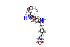 COc1ccc2c(c1)[C@]1(C[C@H]1c1ccc3c(C=Cc4ccc(CCN5CCOCC5)cc4)n[nH]c3c1)C(=O)N2